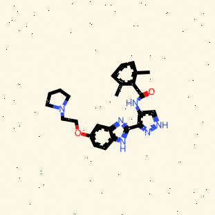 Cc1cccc(C)c1C(=O)Nc1c[nH]nc1-c1nc2cc(OCCN3CCCC3)ccc2[nH]1